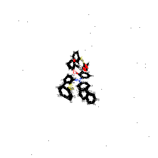 c1ccc2c(c1)Oc1c(N(c3ccc4c(ccc5ccccc54)c3)c3cccc4c3sc3ccccc34)cccc1[Si]21c2ccccc2Sc2ccccc21